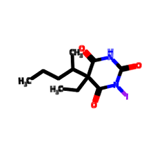 CCCC(C)C1(CC)C(=O)NC(=O)N(I)C1=O